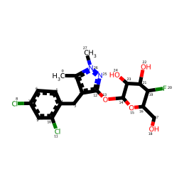 Cc1c(Cc2ccc(Cl)cc2Cl)c(OC2OC(CO)C(F)C(O)C2O)nn1C